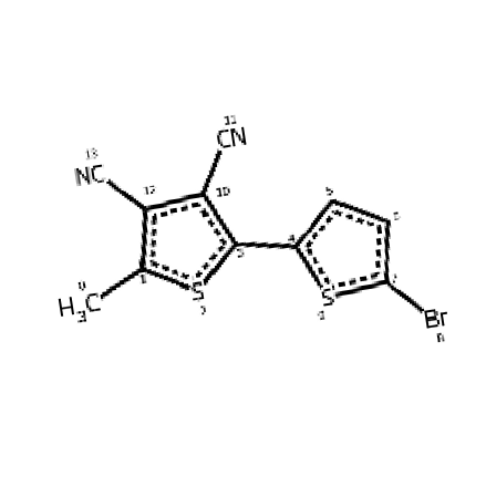 Cc1sc(-c2ccc(Br)s2)c(C#N)c1C#N